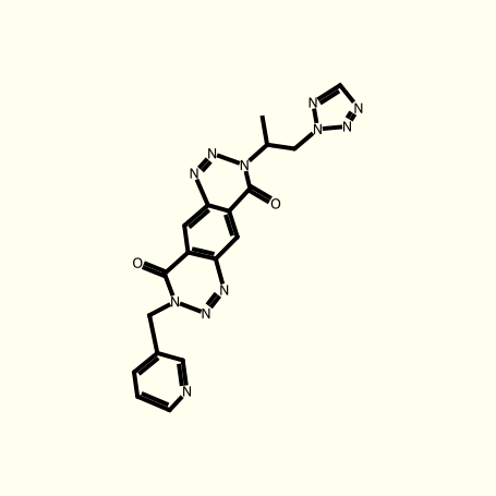 CC(Cn1ncnn1)n1nnc2cc3c(=O)n(Cc4cccnc4)nnc3cc2c1=O